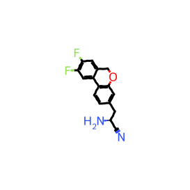 N#C[C@@H](N)Cc1ccc2c(c1)OCc1cc(F)c(F)cc1-2